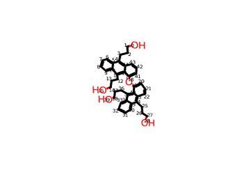 OCCCc1c2ccccc2c(CCCO)c2c(Oc3cccc4c(CCCO)c5ccccc5c(CCCO)c34)cccc12